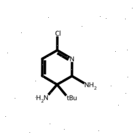 CC(C)(C)C1(N)C=CC(Cl)=NC1N